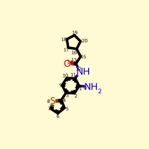 Nc1cc(-c2cccs2)ccc1NC(=O)CC1CCCC1